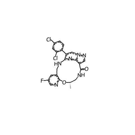 C[C@H]1CNC(=O)c2cnn3cc(-c4ccc(Cl)cc4Cl)c(nc23)NCc2cc(F)cnc2O1